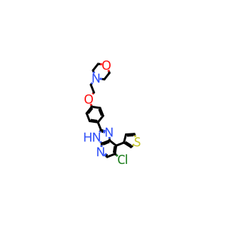 Clc1cnc2[nH]c(-c3ccc(OCCN4CCOCC4)cc3)nc2c1-c1ccsc1